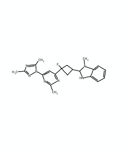 Cc1nc(-n2nc(C)nc2C)cc(C2(F)CC(C3Nc4ccccc4N3C)C2)n1